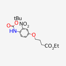 CCOC(=O)CCCOc1ccc(NC(=O)OC(C)(C)C)c([N+](=O)[O-])c1